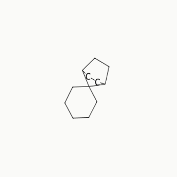 C1CCC2(CC1)C1CCC2CC1